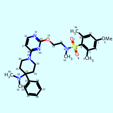 COc1cc(C)c(S(=O)(=O)N(C)CCOc2nccc(N3CCC(c4ccccc4)(N(C)C)CC3)n2)c(C)c1